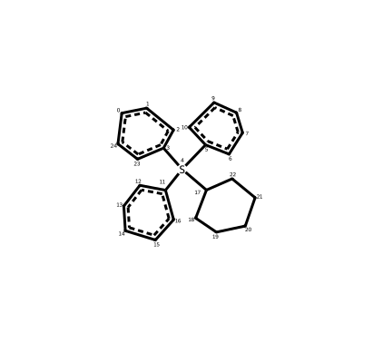 c1ccc(S(c2ccccc2)(c2ccccc2)C2CCCCC2)cc1